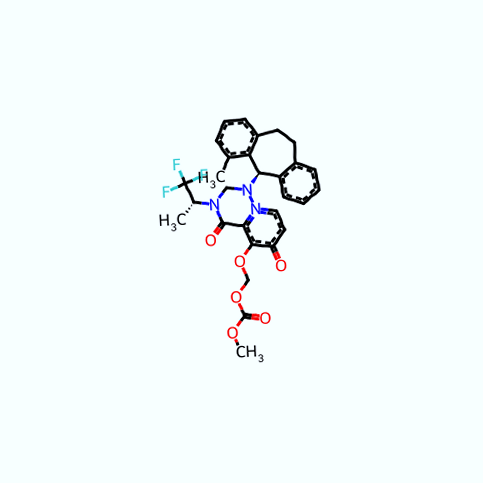 COC(=O)OCOc1c2n(ccc1=O)N([C@@H]1c3ccccc3CCc3cccc(C)c31)CN([C@H](C)C(F)(F)F)C2=O